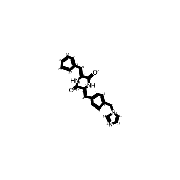 O=c1[nH]/c(=C\c2ccc(Cn3ccnc3)cc2)c(=O)[nH]/c1=C\c1ccccc1